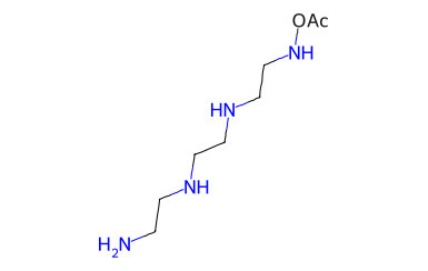 CC(=O)ONCCNCCNCCN